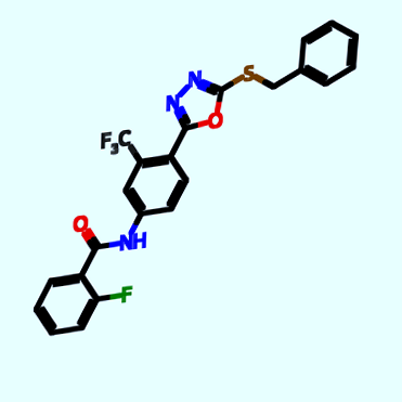 O=C(Nc1ccc(-c2nnc(SCc3ccccc3)o2)c(C(F)(F)F)c1)c1ccccc1F